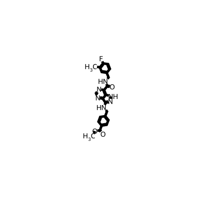 COC(=O)c1ccc(CNc2n[nH]c3c(C(=O)NCc4ccc(F)c(C)c4)ncnc23)cc1